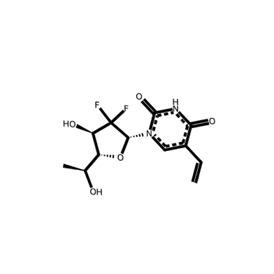 C=Cc1cn([C@@H]2O[C@H]([C@H](C)O)[C@@H](O)C2(F)F)c(=O)[nH]c1=O